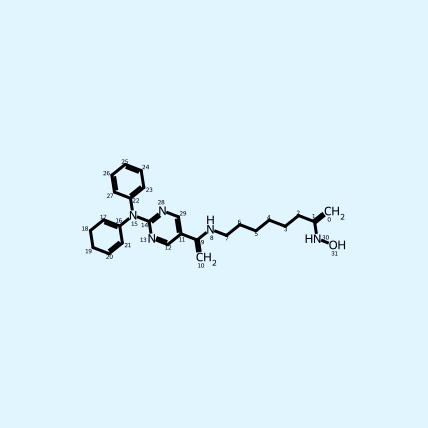 C=C(CCCCCCNC(=C)c1cnc(N(C2=CCCC=C2)c2ccccc2)nc1)NO